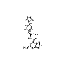 Cc1cc(C2CCCN(Cc3ccc(-n4cccc4)cc3)C2)n2ncnc2n1